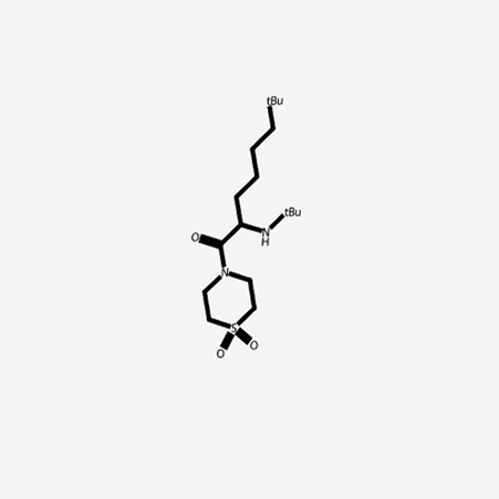 CC(C)(C)CCCCC(NC(C)(C)C)C(=O)N1CCS(=O)(=O)CC1